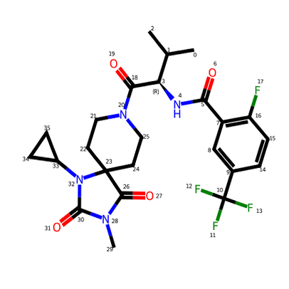 CC(C)[C@@H](NC(=O)c1cc(C(F)(F)F)ccc1F)C(=O)N1CCC2(CC1)C(=O)N(C)C(=O)N2C1CC1